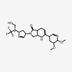 COC1CC(C2=CCC3C(=O)N(C4C=NN([C@H](CO)C(F)(F)F)C4)CC3N2)C=NC1OC